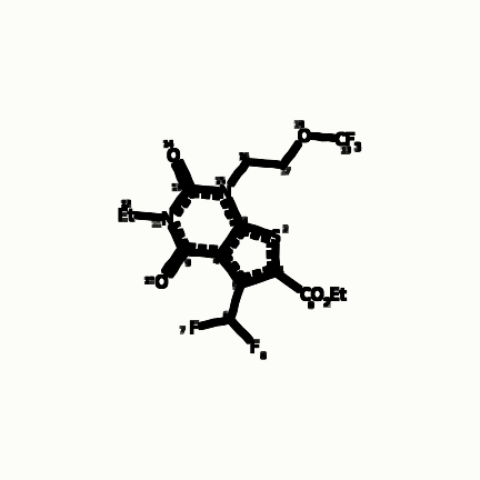 CCOC(=O)c1sc2c(c1C(F)F)c(=O)n(CC)c(=O)n2CCOC(F)(F)F